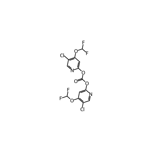 O=C(Oc1cc(OC(F)F)c(Cl)cn1)Oc1cc(OC(F)F)c(Cl)cn1